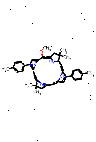 CO/C1=C2\CC(C)(C)C(/C=c3\[nH]/c(cc3-c3ccc(C)cc3)=C\C3=NC(=C\c4[nH]c1cc4-c1ccc(C)cc1)/C(C)(C)C3)N2